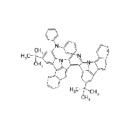 CC(C)(C)c1cc(N(c2ccccc2)c2ccccc2)c2c(c1)c1c3ccccc3cc3c4c5c6cc(C(C)(C)C)cc7c8ccc9ccccc9c8n(c5ncc4n2c31)c76